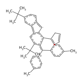 Cc1ccc(C(c2ccc(C)cc2)=c2c(C(C)(C)C)cc3c(c2C2=CC=CC2)[C]=c2ccc(C(C)(C)C)cc2=3)cc1